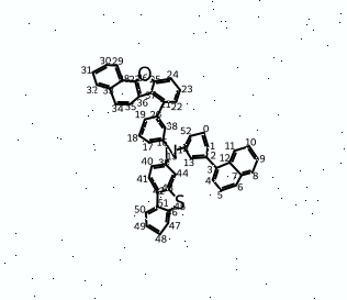 c1cc(-c2cccc3ccccc23)cc(N(c2cccc(-c3cccc4oc5c6ccccc6ccc5c34)c2)c2ccc3c(c2)sc2ccccc23)c1